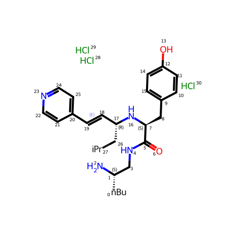 CCCC[C@H](N)CNC(=O)[C@H](Cc1ccc(O)cc1)N[C@@H](/C=C/c1ccncc1)CC(C)C.Cl.Cl.Cl